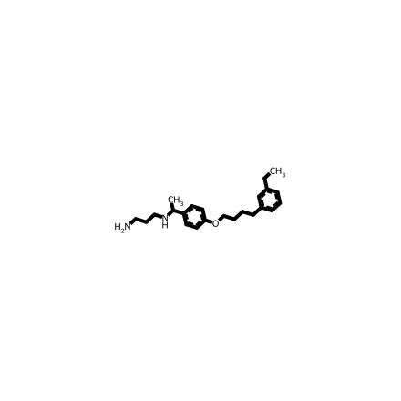 CCc1cccc(CCCCOc2ccc(C(C)NCCCN)cc2)c1